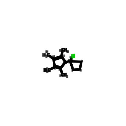 CC1=C(C)C([Si]2(Cl)CCC2)C(C)=C1C